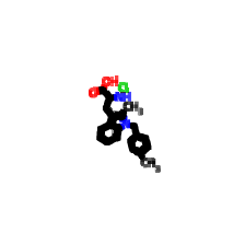 Cc1ccc(Cn2c(C)c(CC(NCl)C(=O)O)c3ccccc32)cc1